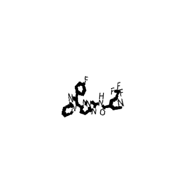 O=C(Nc1cn2nc(-c3c(-c4ccc(F)cc4)nc4ccccn34)ccc2n1)c1ccnc(C(F)(F)F)c1